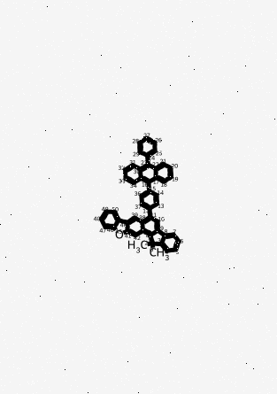 CC1(C)c2ccccc2-c2cc(-c3ccc(-c4c5ccccc5c(-c5ccccc5)c5ccccc45)cc3)c3cc4c(cc3c21)oc1ccccc14